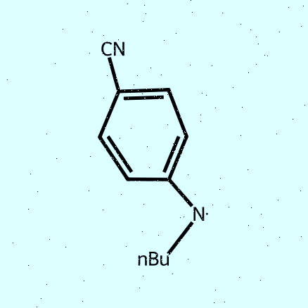 CCCC[N]c1ccc(C#N)cc1